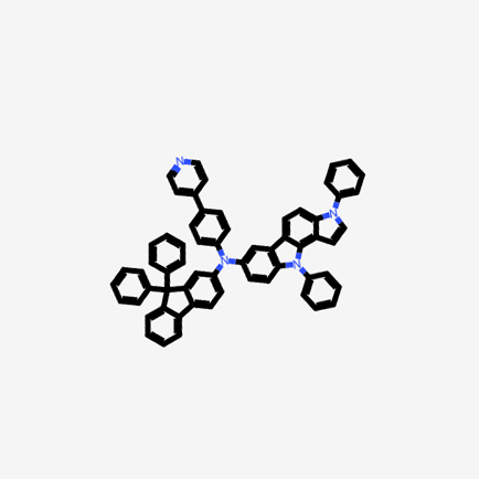 c1ccc(-n2ccc3c2ccc2c4cc(N(c5ccc(-c6ccncc6)cc5)c5ccc6c(c5)C(c5ccccc5)(c5ccccc5)c5ccccc5-6)ccc4n(-c4ccccc4)c23)cc1